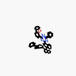 c1ccc(-c2ccc(-c3ccc4ccccc4c3-c3ccc(-c4nc(-c5ccccc5)nc(-c5cccc6c5oc5ccccc56)n4)c4ccccc34)cc2)cc1